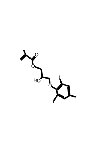 C=C(C)C(=O)OCC(O)COc1c(I)cc(I)cc1I